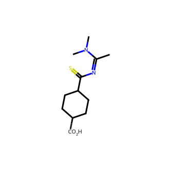 CC(=NC(=S)C1CCC(C(=O)O)CC1)N(C)C